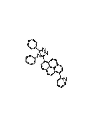 c1ccc(-c2nnc(-c3ccc4ccc5c(-c6ccccn6)ccc6ccc3c4c65)n2-c2ccccc2)cc1